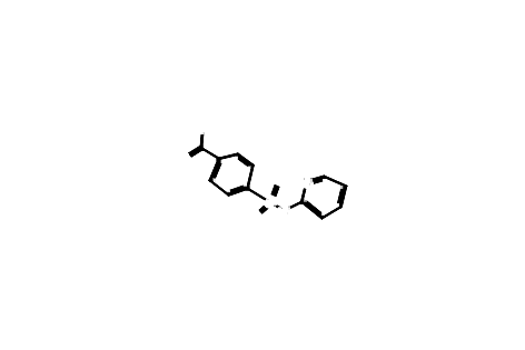 CC(=O)c1ccc(S(=O)(=O)Nc2ccccn2)cc1